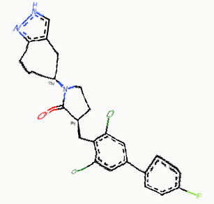 O=C1[C@H](Cc2c(Cl)cc(-c3ccc(F)cc3)cc2Cl)CCN1[C@H]1CCc2n[nH]cc2C1